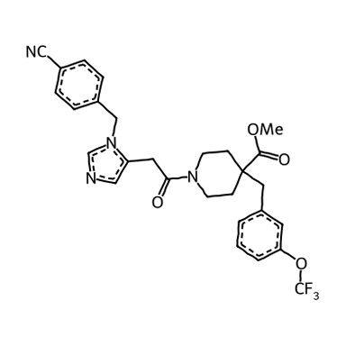 COC(=O)C1(Cc2cccc(OC(F)(F)F)c2)CCN(C(=O)Cc2cncn2Cc2ccc(C#N)cc2)CC1